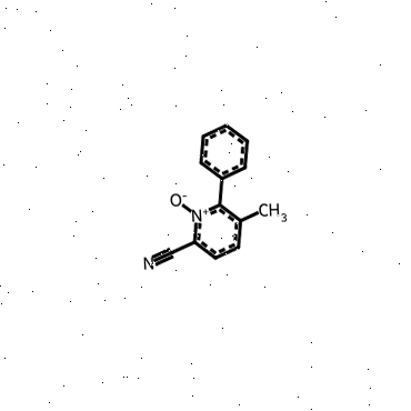 Cc1ccc(C#N)[n+]([O-])c1-c1ccccc1